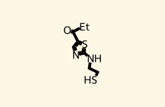 CCC(=O)c1cnc(NCCS)s1